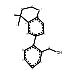 CC1(C)CCSc2ccc(-c3ccccc3CO)cc21